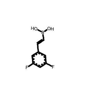 OB(O)C=Cc1cc(F)cc(F)c1